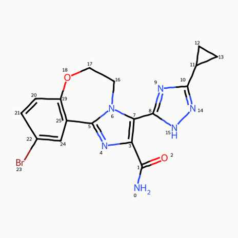 NC(=O)c1nc2n(c1-c1nc(C3CC3)n[nH]1)CCOc1ccc(Br)cc1-2